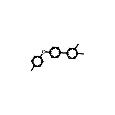 Cc1ccc(Oc2ccc(-c3ccc(C)c(C)c3)cc2)cc1